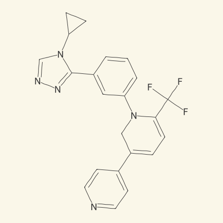 FC(F)(F)C1=CC=C(c2ccncc2)CN1c1cccc(-c2nncn2C2CC2)c1